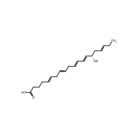 CCC=CC[C@H](O)C=CC=CCC=CCC=CCCCC(=O)O